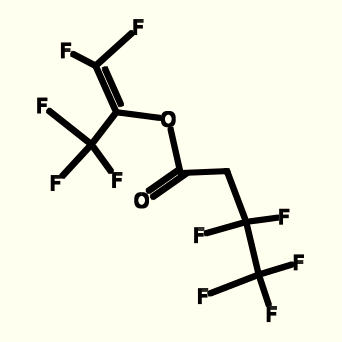 O=C(CC(F)(F)C(F)(F)F)OC(=C(F)F)C(F)(F)F